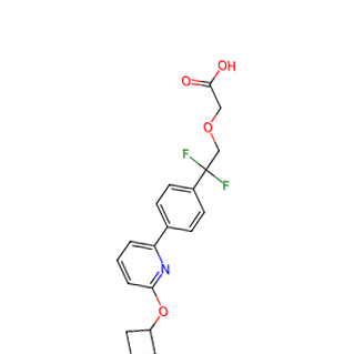 O=C(O)COCC(F)(F)c1ccc(-c2cccc(OC3CCC3)n2)cc1